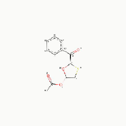 CC(=O)O[C@H]1CS[C@H](C(=O)c2ccccc2)O1